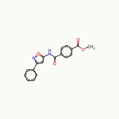 COC(=O)c1ccc(C(=O)Nc2cc(-c3ccccc3)no2)cc1